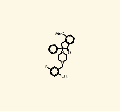 COc1cccc2c1CC(c1ccccc1)(N1CCN(Cc3cc(F)ccc3C)CC1)C2=O